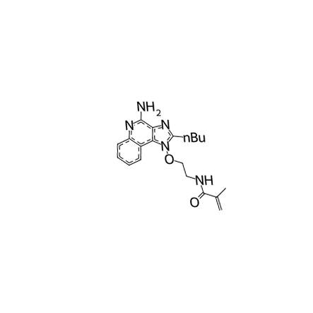 C=C(C)C(=O)NCCOn1c(CCCC)nc2c(N)nc3ccccc3c21